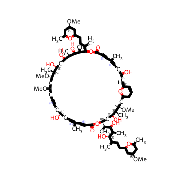 COC1C/C=C\C[C@@H](O)C/C=C(C)/C=C/C(=O)O[C@@H](C(C)C(O)C(C)[C@@H](O)C(C)CCC2C[C@H](OC)CC(C)O2)C[C@H](O)[C@H](C)[C@@H](OC)CC2CC=C[C@@H](CC(O)C/C=C(C)/C=C/C(=O)OC(C(C)CCC3C[C@H](OC)CC(C)O3)C(C)C(O)[C@@H](C)C(O)C[C@H](O)[C@H](C)[C@@H](OC)C1)O2